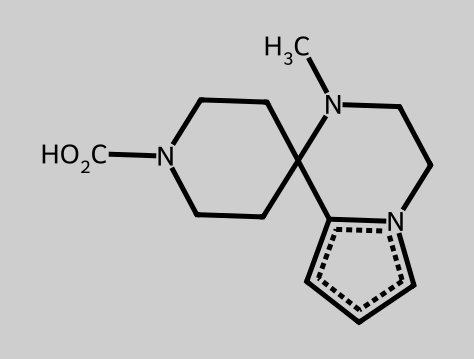 CN1CCn2cccc2C12CCN(C(=O)O)CC2